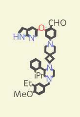 CCc1cc(CN2CCN(C3CC4(CCN(c5ccc(C=O)c(Oc6cnc7[nH]ccc7c6)c5)CC4)C3)C(c3ccccc3C(C)C)C2)ccc1OC